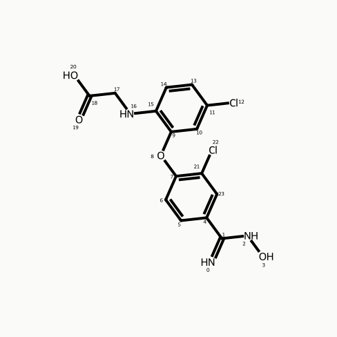 N=C(NO)c1ccc(Oc2cc(Cl)ccc2NCC(=O)O)c(Cl)c1